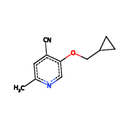 Cc1cc(C#N)c(OCC2CC2)cn1